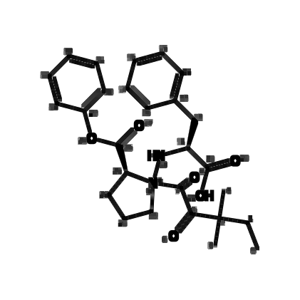 CCC(C)(C)C(=O)C(=O)[N+]1(N[C@@H](Cc2ccccc2)C(=O)O)CCC[C@H]1C(=O)Oc1ccccc1